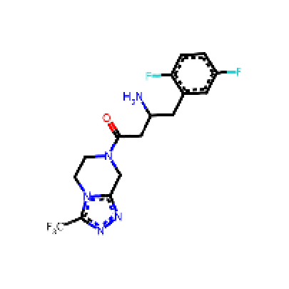 NC(CC(=O)N1CCn2c(nnc2C(F)(F)F)C1)Cc1cc(F)ccc1F